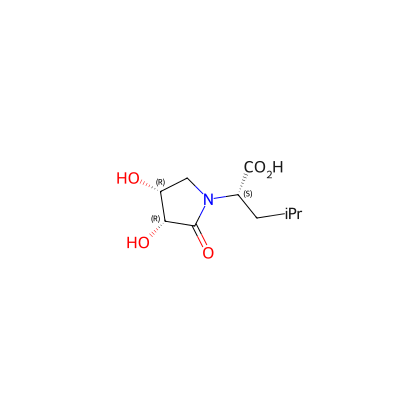 CC(C)C[C@@H](C(=O)O)N1C[C@@H](O)[C@@H](O)C1=O